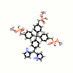 CCOP(C)(=O)Cc1ccc(C(c2ccc(CP(C)(=O)OCC)cc2)(c2ccc(CP(C)(=O)OCC)cc2)c2ccc(C(c3ccc[nH]3)c3ccc[nH]3)cc2)cc1